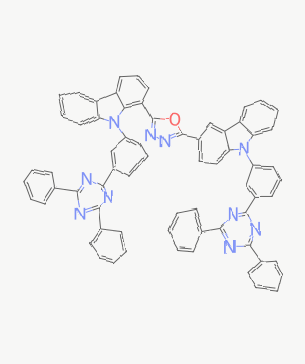 c1ccc(-c2nc(-c3ccccc3)nc(-c3cccc(-n4c5ccccc5c5cc(-c6nnc(-c7cccc8c9ccccc9n(-c9cccc(-c%10nc(-c%11ccccc%11)nc(-c%11ccccc%11)n%10)c9)c78)o6)ccc54)c3)n2)cc1